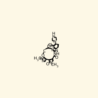 C[C@@H]1CCCOc2c(cnn2C)-c2cc(cn(C)c2=O)C(=O)Nc2nc3ccc(N4CCNCC4)c(Cl)c3n2C1